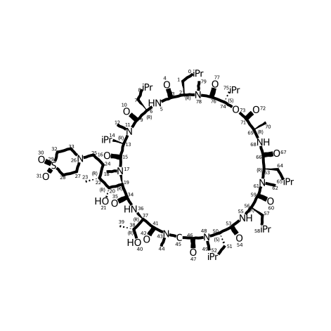 CC(C)C[C@@H]1C(=O)N[C@H](CC(C)C)C(=O)N(C)[C@H](C(C)C)C(=O)N(C)[C@H]([C@H](O)[C@H](C)CCN2CCS(=O)(=O)CC2)C(=O)N[C@H]([C@@H](C)O)C(=O)N(C)CC(=O)N(C)[C@@H](CC(C)C)C(=O)N[C@H](CC(C)C)C(=O)N(C)[C@H](CC(C)C)C(=O)N[C@H](C)C(=O)O[C@@H](C(C)C)C(=O)N1C